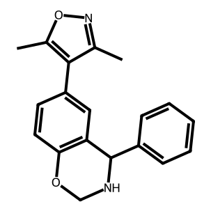 Cc1noc(C)c1-c1ccc2c(c1)C(c1ccccc1)NCO2